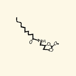 CCCCCCCCCC(=O)NCC1COC(OC)O1